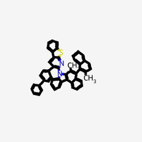 Cc1ccc2ccccc2c1-c1c(C)c2c(c3ccccc13)c1ccccc1n2-c1nc2sc3ccccc3c2cc1-c1ccc(-c2ccccc2)cc1